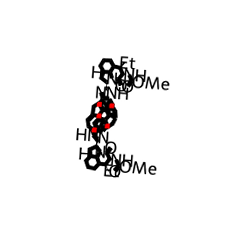 CC[C@@H]1C2CCC[C@H]3C[C@@H](c4nc5cc(C6=CC7=CCC=C6CCc6ccc(c(-c8ccc9[nH]c([C@@H]%10C[C@@H]%11CCCC%12C%11N%10C(=O)[C@@H](NC(=O)OC)[C@@H]%12CC)nc9c8)c6)CC7)ccc5[nH]4)N(C(=O)[C@H]1NC(=O)OC)C23